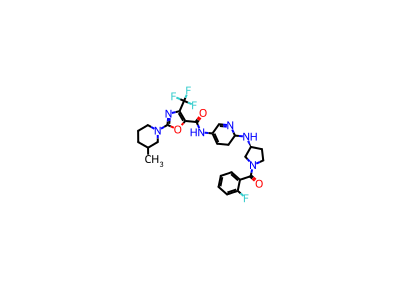 CC1CCCN(c2nc(C(F)(F)F)c(C(=O)NC3=CCC(N[C@H]4CCN(C(=O)c5ccccc5F)C4)N=C3)o2)C1